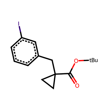 CC(C)(C)OC(=O)C1(Cc2cccc(I)c2)CC1